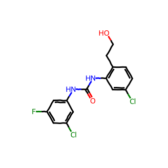 O=C(Nc1cc(F)cc(Cl)c1)Nc1cc(Cl)ccc1CCO